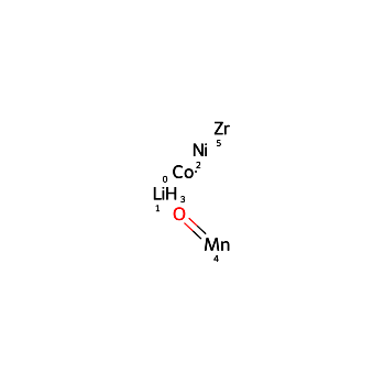 [Co].[LiH].[Ni].[O]=[Mn].[Zr]